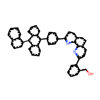 OCc1ccccc1-c1ccc2ccc3ccc(-c4ccc(-c5c6ccccc6c(-c6cccc7ccccc67)c6ccccc56)cc4)nc3c2n1